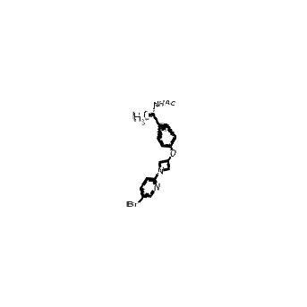 CC(=O)N[C@@H](C)c1ccc(OC2CN(c3ccc(Br)cn3)C2)cc1